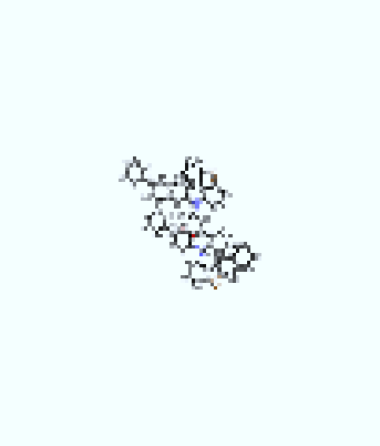 c1ccc(-c2ccc(N(c3ccccc3-c3cccc(N(c4ccc5cc(-c6ccccc6)ccc5c4)c4cccc5sc6ccccc6c45)c3)c3cccc4sc5cc6ccccc6cc5c34)cc2)cc1